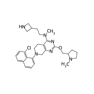 CN(CCC1CNC1)c1nc(OCC2CCCN2C)nc2c1CCN(c1cccc3cccc(Cl)c13)C2